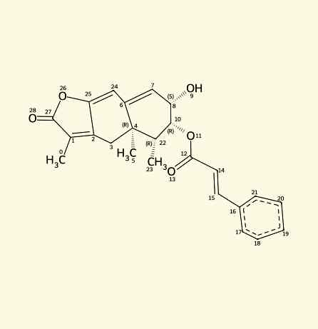 CC1=C2C[C@@]3(C)C(=C[C@H](O)[C@H](OC(=O)C=Cc4ccccc4)[C@@H]3C)C=C2OC1=O